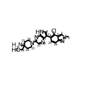 Cn1cc2c(Cl)c(-c3c[nH]c4nc(N5CCC(N)(CO)CC5)cnc34)ccc2n1